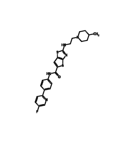 CC1CCN(CCNc2nc3sc(C(=O)Nc4ccc(-c5ccc(F)cn5)cc4)cc3s2)CC1